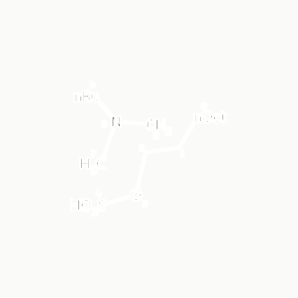 CCCCCCCCCCOS(=O)(=O)O.CCCCN(C)C